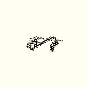 COC(=O)[C@H]1O[C@@H](Oc2ccc(COC(=O)N(C)CCN(C)C(=O)OC(C)(C)C)cc2NC(=O)CCCCCCCCCOC(=O)N(C)CCN(C)C(=O)Oc2c(OC)ccc3cc4[n+](cc23)CCc2cc3c(cc2-4)OCO3)[C@H](OC(C)=O)[C@@H](OC(C)=O)[C@@H]1OC(C)=O